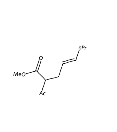 CCCC=CCC(C(C)=O)C(=O)OC